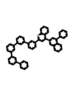 c1ccc(-c2cccc(-c3cccc(-c4cccc(-c5cccc(-c6cc(-c7cc(-c8ccccc8)c8ccccc8c7)c7ccccc7n6)c5)c4)c3)c2)cc1